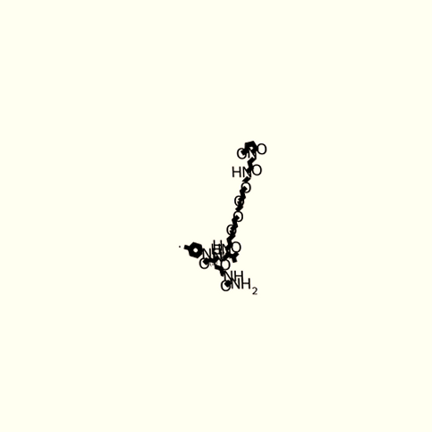 [CH2]c1ccc(NC(=O)[C@H](CCCNC(N)=O)NC(=O)[C@@H](NC(=O)CCOCCOCCOCCOCCNC(=O)CCN2C(=O)C=CC2=O)C(C)C)cc1